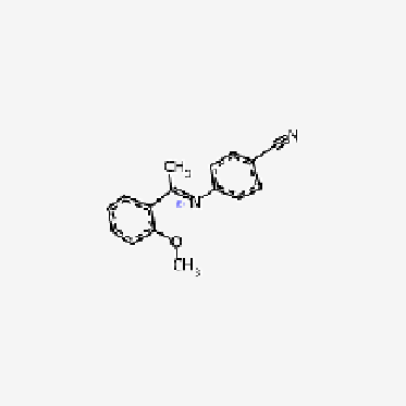 COc1ccccc1/C(C)=N/c1ccc(C#N)cc1